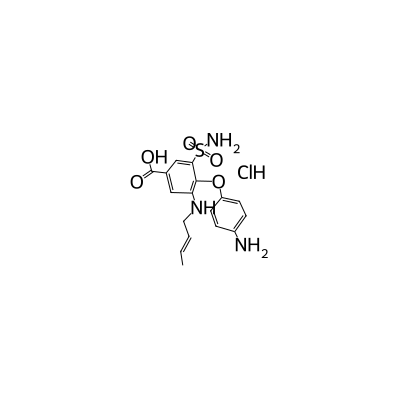 CC=CCNc1cc(C(=O)O)cc(S(N)(=O)=O)c1Oc1ccc(N)cc1.Cl